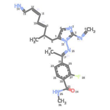 C=Nc1ncc(CC(C)/C=C/C=C\C=N)n1/N=C(\C)c1ccc(C(=O)NC)c(F)c1